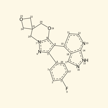 Fc1ccc(-c2nn3c(c2-c2ccnc4[nH]ncc24)OCC2(COC2)C3)cc1